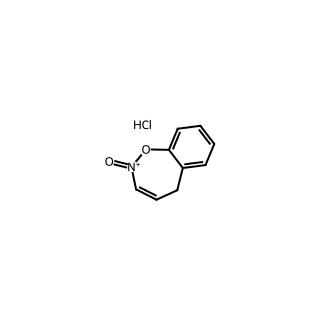 Cl.O=[N+]1C=CCc2ccccc2O1